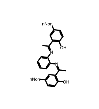 CCCCCCCCCc1ccc(O)c(C(C)=Nc2ccccc2N=C(C)c2cc(CCCCCCCCC)ccc2O)c1